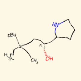 CC(C)(C)[Si](C)(C)C[C@@H](O)C1CCCN1